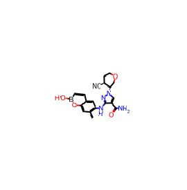 Cc1cc2c(cc1Nc1nn([C@H]3COCC[C@@H]3C#N)cc1C(N)=O)C=CB(O)O2